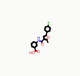 Cc1oc(-c2ccc(F)cc2)cc1C(=O)Nc1cccc(C(=O)O)c1